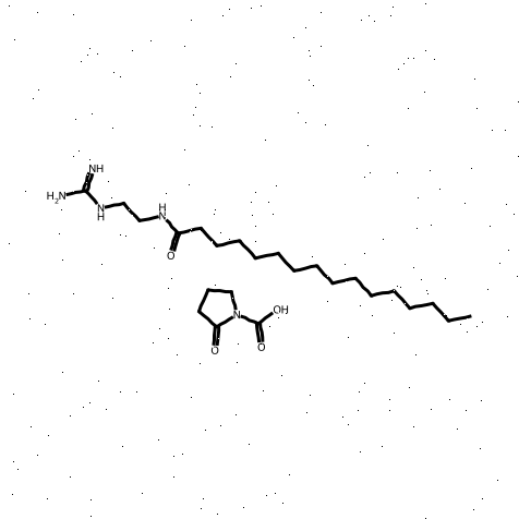 CCCCCCCCCCCCCCCC(=O)NCCNC(=N)N.O=C(O)N1CCCC1=O